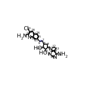 Nc1nc2cc(/C=C/C3CC(N4CCc5c(N)ncnc54)C(O)C3O)ccc2cc1Cl